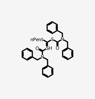 CCCCCC(SC(=O)N(Cc1ccccc1)Cc1ccccc1)=[SH]C(=O)N(Cc1ccccc1)Cc1ccccc1